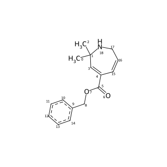 CC1(C)C=C(C(=O)OCc2ccccc2)C=CCN1